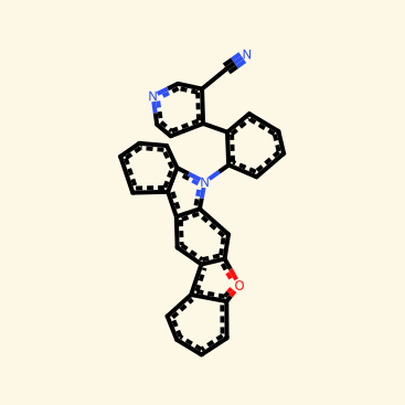 N#Cc1cnccc1-c1ccccc1-n1c2ccccc2c2cc3c(cc21)oc1ccccc13